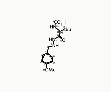 COc1ccc(CNNC(=O)[C@@H](NC(=O)O)C(C)(C)C)cc1